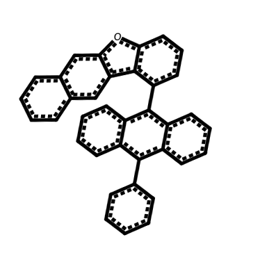 c1ccc(-c2c3ccccc3c(-c3cccc4oc5cc6ccccc6cc5c34)c3ccccc23)cc1